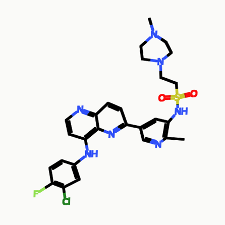 Cc1ncc(-c2ccc3nccc(Nc4ccc(F)c(Cl)c4)c3n2)cc1NS(=O)(=O)CCN1CCN(C)CC1